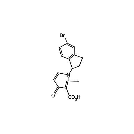 Cc1c(C(=O)O)c(=O)ccn1C1CCc2cc(Br)ccc21